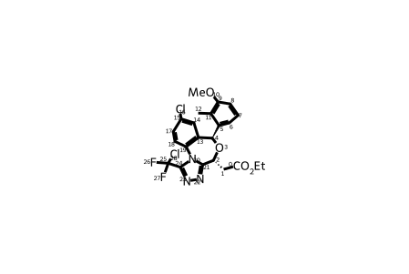 CCOC(=O)C[C@H]1O[C@H](c2cccc(OC)c2C)c2cc(Cl)ccc2-n2c1nnc2C(F)(F)Cl